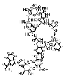 CC(=O)n1cc(C2OCC3OC(OC4C(CO)OC(Oc5ccc(CC6NC(=O)C(C(C)c7ccccc7)NC(=O)CNC(=O)C(CO)NC(=O)C(C(O)C7CNC(=N)N7C7OC(CO)C(O)C(O)C7O)NC(=O)C(C(O)C7CNC(=N)N7)NC6=O)cc5)C(O)C4O)C(O)C(O)C3O2)c2ccccc21